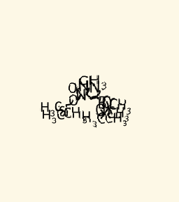 Cn1c(=O)n(COCC[Si](C)(C)C)c2cc(B3OC(C)(C)C(C)(C)O3)cnc21